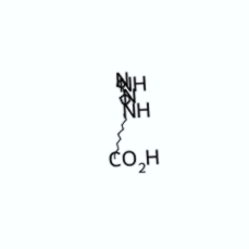 O=C(O)CCCCCCCCCNc1ccc(-c2ccn[nH]2)nc1